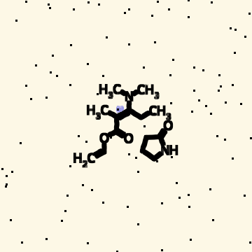 C=COC(=O)/C(C)=C(\CC)N(C)C.O=C1CCCN1